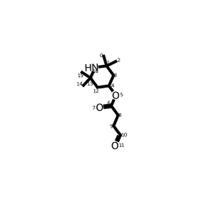 CC1(C)CC(OC(=O)CCC=O)CC(C)(C)N1